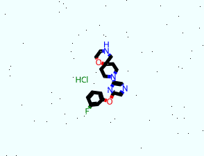 Cl.Fc1cccc(Oc2cncc(N3CCC4(CC3)CNCCO4)n2)c1